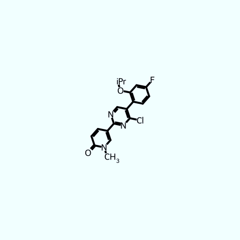 CC(C)Oc1cc(F)ccc1-c1cnc(-c2ccc(=O)n(C)c2)nc1Cl